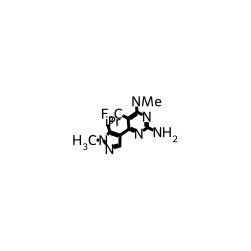 CNc1nc(N)nc(-c2cnn(C)c2C(C)C)c1C(F)(F)F